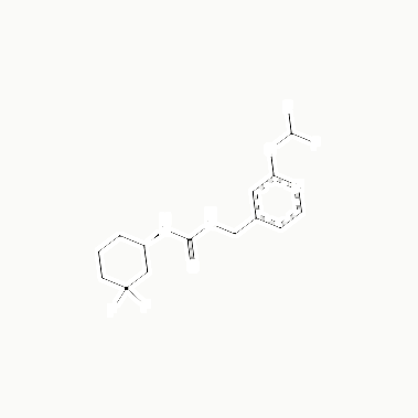 O=C(NCc1ccnc(OC(F)F)c1)N[C@@H]1CCCC(F)(F)C1